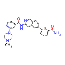 CN1CCN(c2cc(C(=O)Nc3cc4cc(C5=CCC=C(C(N)=O)S5)ccc4cn3)ccn2)CC1